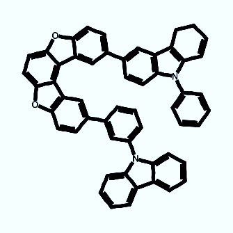 C1=Cc2c(c3cc(-c4ccc5oc6ccc7oc8ccc(-c9cccc(-n%10c%11ccccc%11c%11ccccc%11%10)c9)cc8c7c6c5c4)ccc3n2-c2ccccc2)CC1